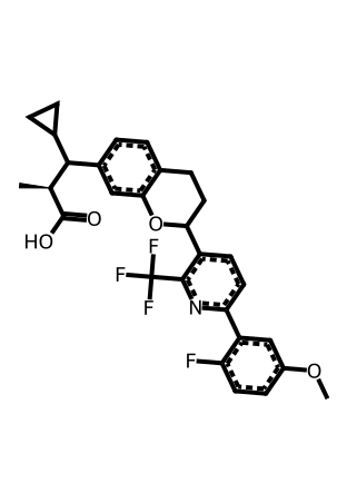 COc1ccc(F)c(-c2ccc(C3CCc4ccc(C(C5CC5)[C@H](C)C(=O)O)cc4O3)c(C(F)(F)F)n2)c1